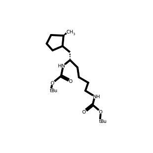 C[C@@H]1CCCC1C[C@H](CCCCNC(=O)OC(C)(C)C)NC(=O)OC(C)(C)C